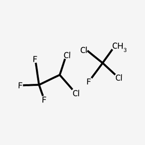 CC(F)(Cl)Cl.FC(F)(F)C(Cl)Cl